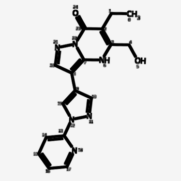 CCc1c(CO)[nH]c2c(-c3cnn(-c4ccccn4)c3)cnn2c1=O